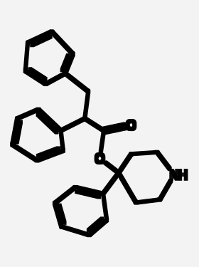 O=C(OC1(c2ccccc2)CCNCC1)C(Cc1ccccc1)c1ccccc1